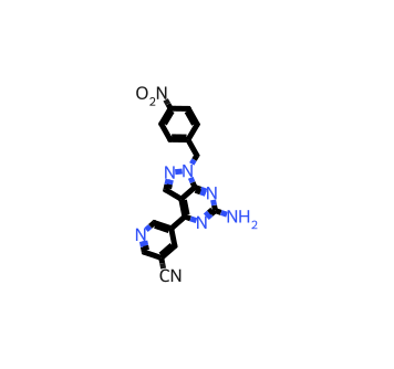 N#Cc1cncc(-c2nc(N)nc3c2cnn3Cc2ccc([N+](=O)[O-])cc2)c1